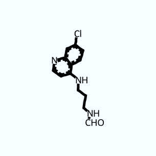 O=CNCCCNc1ccnc2cc(Cl)ccc12